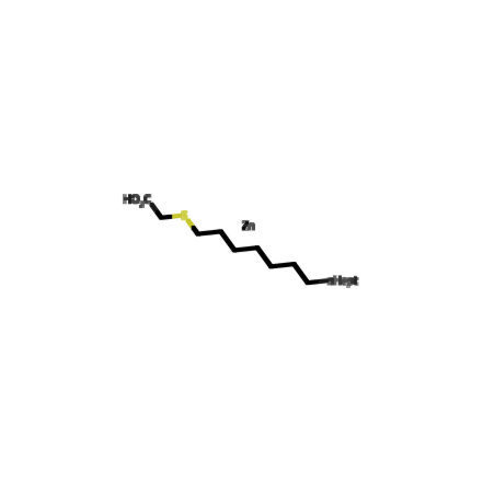 CCCCCCCCCCCCCCSCC(=O)O.[Zn]